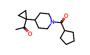 CC(=O)C1(C2CCN(C(=O)C3CCCC3)CC2)CC1